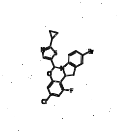 Fc1cc(Cl)cc2c1C1Cc3cc(Br)ccc3N1C(c1cnc(C3CC3)s1)O2